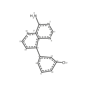 Nc1ncnc2c(-c3cccc(Cl)c3)ccnc12